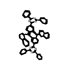 c1ccc(-c2nc(-c3ccccc3)nc(-c3ccc4c(-c5cccc6ccccc56)c5cc(-c6nc(-c7ccccc7)nc(-c7ccccc7)n6)ccc5c(-c5ccc6ccccc6c5)c4c3)n2)cc1